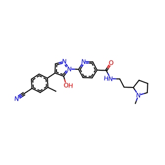 Cc1cc(C#N)ccc1-c1cnn(-c2ccc(C(=O)NCCC3CCCN3C)cn2)c1O